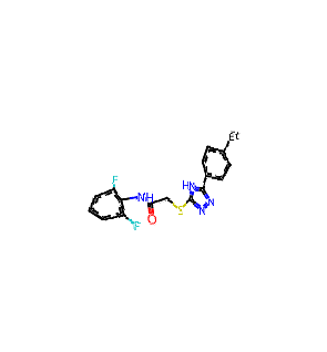 CCc1ccc(-c2nnc(SCC(=O)Nc3c(F)cccc3F)[nH]2)cc1